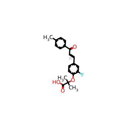 Cc1ccc(C(=O)/C=C/c2ccc(OC(C)(C)C(=O)O)c(F)c2)cc1